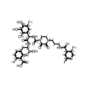 O=C(NCCCN1CCN(C(=O)NC(C(=O)NC2Cc3ccc(F)c(C(=O)O)c3OB2O)c2cc(F)c(O)c(O)c2Cl)C(=O)C1=O)c1cc(F)ncc1F